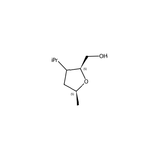 CC(C)C1C[C@H](C)O[C@@H]1CO